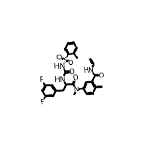 C=CNC(=O)c1cc(N(C)C(=O)C(Cc2cc(F)cc(F)c2)NC(=O)NS(=O)(=O)c2ccccc2C)ccc1C